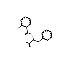 COC(=O)C(Cc1ccccc1)NC(=O)c1ccccc1Cl